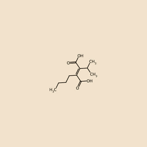 CCCCC(C(=O)O)=C(C(=O)O)C(C)C